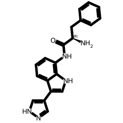 N[C@H](Cc1ccccc1)C(=O)Nc1cccc2c(-c3cn[nH]c3)c[nH]c12